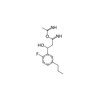 CCCc1ccc(F)c(C(O)CC(=N)OC(C)=N)c1